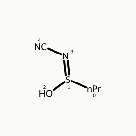 CCCS(O)=NC#N